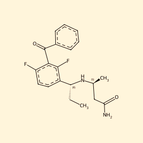 CC[C@@H](N[C@@H](C)CC(N)=O)c1ccc(F)c(C(=O)c2ccccc2)c1F